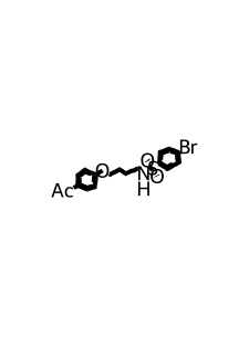 CC(=O)c1ccc(OCCCCNS(=O)(=O)c2ccc(Br)cc2)cc1